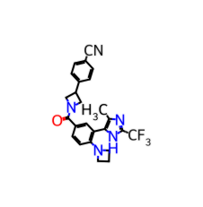 Cc1nc(C(F)(F)F)[nH]c1-c1cc(C(=O)N2CC(c3ccc(C#N)cc3)C2)ccc1N1CCC1